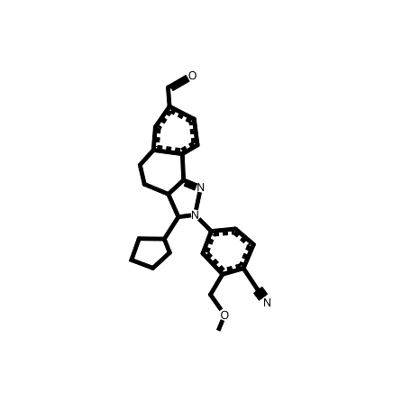 COCc1cc(N2N=C3c4ccc(C=O)cc4CCC3C2C2CCCC2)ccc1C#N